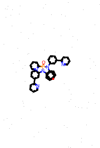 O=P(c1ccccn1)(N(c1ccccc1)c1cccc(-c2ccccn2)c1)N(c1ccccc1)c1cccc(-c2ccccn2)c1